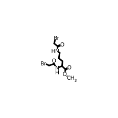 COC(=O)C(CCCNC(=O)CBr)NC(=O)CBr